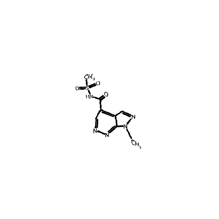 Cn1ncc2c(C(=O)NS(C)(=O)=O)cnnc21